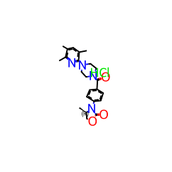 Cc1cc(C)c(N2CCN(C(=O)c3ccc(N4C(=O)OC[C@H]4C)cc3)CC2)nc1C.Cl